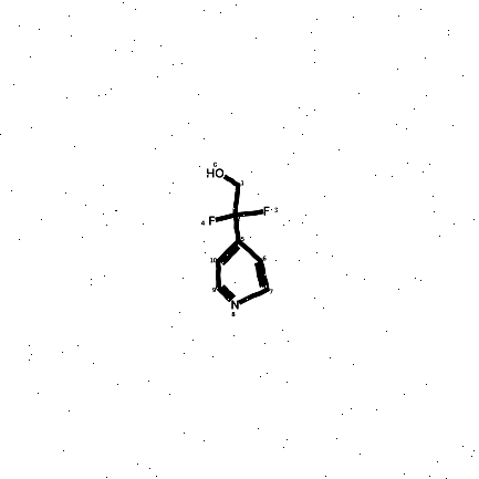 OCC(F)(F)c1ccncc1